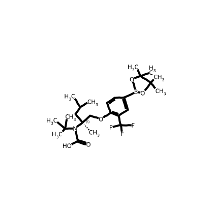 CC(C)C[C@@](C)(COc1ccc(B2OC(C)(C)C(C)(C)O2)cc1C(F)(F)F)N(C(=O)O)C(C)(C)C